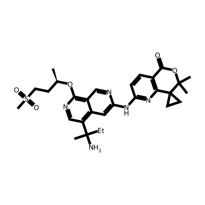 CCC(C)(N)c1cnc(O[C@H](C)CCS(C)(=O)=O)c2cnc(Nc3ccc4c(n3)C3(CC3)C(C)(C)OC4=O)cc12